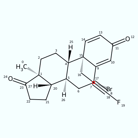 C[C@]12CC[C@H]3[C@@H](C[C@@H](Br)C4=CC(=O)C=C[C@@]43CC#CF)[C@@H]1CCC2=O